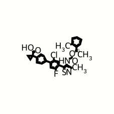 Cc1ccccc1[C@@H](C)OC(=O)Nc1c(C)nsc1-c1cc(Cl)c(-c2ccc(C3(C(=O)O)CC3)cc2)cc1F